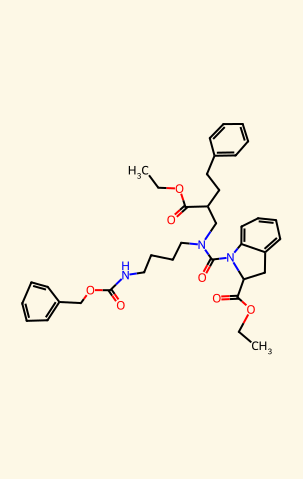 CCOC(=O)C(CCc1ccccc1)CN(CCCCNC(=O)OCc1ccccc1)C(=O)N1c2ccccc2CC1C(=O)OCC